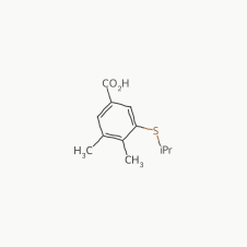 Cc1cc(C(=O)O)cc(SC(C)C)c1C